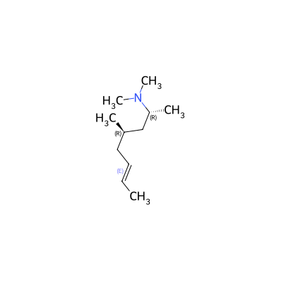 C/C=C/C[C@@H](C)C[C@@H](C)N(C)C